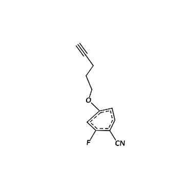 C#CCCCOc1ccc(C#N)c(F)c1